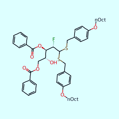 CCCCCCCCOc1ccc(CSC(SCc2ccc(OCCCCCCCC)cc2)[C@@H](F)[C@H](OC(=O)c2ccccc2)[C@H](O)COC(=O)c2ccccc2)cc1